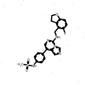 CS(=O)(=O)Nc1ccc(-c2cnc(NCc3c(F)ccc4c3CCO4)n3cncc23)cc1